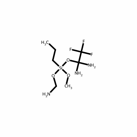 CCC[Si](OC)(OCN)OC(N)(N)C(F)(F)F